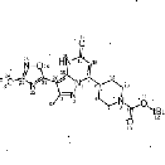 Cc1nn2c(C3CCN(C(=O)OC(C)(C)C)CC3)cc(=O)[nH]c2c1-c1nc(C(F)(F)F)no1